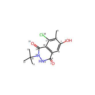 Cc1c(O)cc2c(=O)[nH]n(C(C)(C)C)c(=O)c2c1Cl